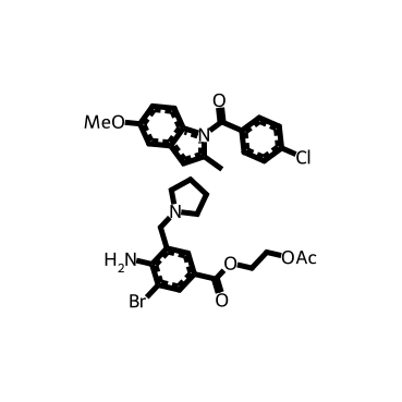 CC(=O)OCCOC(=O)c1cc(Br)c(N)c(CN2CCCC2)c1.COc1ccc2c(c1)cc(C)n2C(=O)c1ccc(Cl)cc1